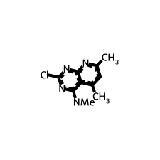 CNc1nc(Cl)nc2nc(C)cc(C)c12